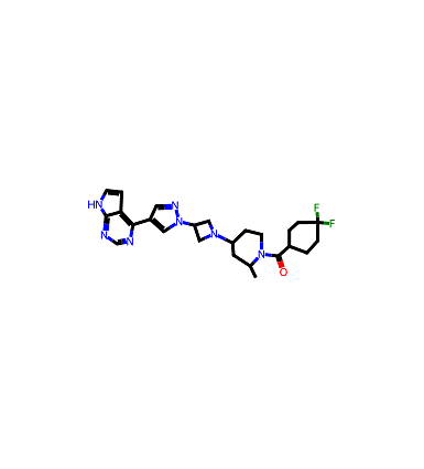 CC1CC(N2CC(n3cc(-c4ncnc5[nH]ccc45)cn3)C2)CCN1C(=O)C1CCC(F)(F)CC1